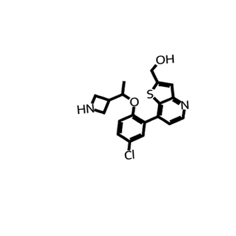 CC(Oc1ccc(Cl)cc1-c1ccnc2cc(CO)sc12)C1CNC1